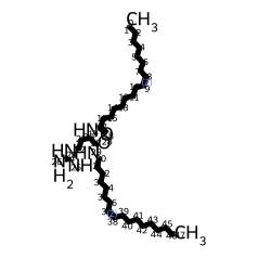 CCCCCCCC/C=C\CCCCCCCC(=O)NC(CCNC(=N)N)C(=O)NCCCCCCC/C=C\CCCCCCCCC